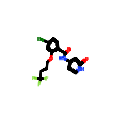 O=C(Nc1cc[nH]c(=O)c1)c1ccc(Cl)cc1OCCCC(F)(F)F